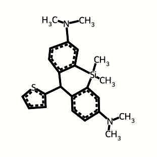 CN(C)c1ccc2c(c1)[Si](C)(C)c1cc(N(C)C)ccc1C2c1cccs1